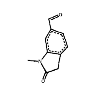 CN1C(=O)Cc2ccc(C=O)cc21